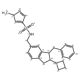 Cn1cc(S(=O)(=O)NCc2ccc3c(c2)C(Cc2ccccc2)C(N2CCC2)C3)cn1